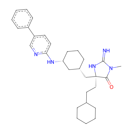 CN1C(=N)N[C@](CCC2CCCCC2)(C[C@H]2CCC[C@@H](Nc3ccc(-c4ccccc4)cn3)C2)C1=O